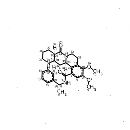 COc1cc(C(=O)N[C@H](C)c2ccccc2)c2c(c1OC)CCN1C(=O)[C@@H]3CCCN[C@@H]3C[C@H]21